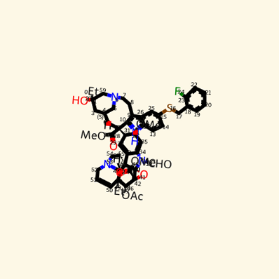 CC[C@]1(O)C[C@H]2CN(CCc3c([nH]c4ccc(SCc5ccccc5F)cc34)[C@@](C(=O)OC)(C3C=C4C(=CC3OC)N(C=O)[C@@]35O[C@]3(C(=O)OC)[C@H](OC(C)=O)[C@]3(CC)C=CCN6CC[C@]45[C@@H]63)C2)C1